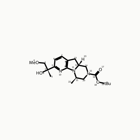 COC[C@@](C)(O)c1ccc2c(n1)N1[C@H](C2)CN(C(=O)OC(C)(C)C)C[C@H]1C